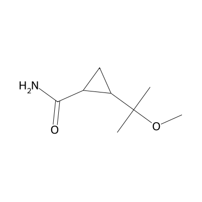 COC(C)(C)C1CC1C(N)=O